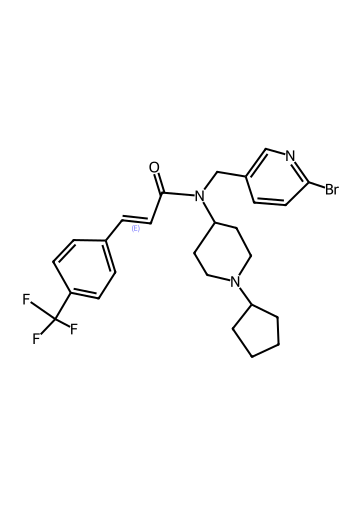 O=C(/C=C/c1ccc(C(F)(F)F)cc1)N(Cc1ccc(Br)nc1)C1CCN(C2CCCC2)CC1